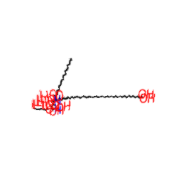 CCCCCCCCCCCCCC=CC(O)C(NC(=O)C=CC=CCCCCCCCCCCCCCCCCCCCCCCCCCCCCCC(O)O)C(O)[C@@H]1O[C@H](CO)[C@@H](O)[C@H](OCCCCC)[C@H]1O